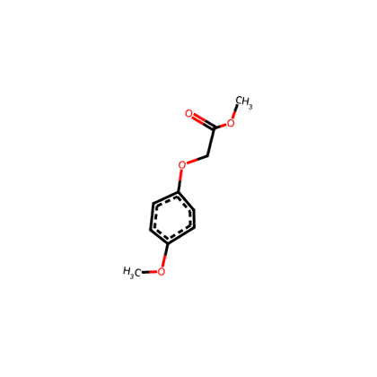 COC(=O)COc1ccc(OC)cc1